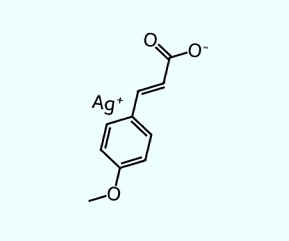 COc1ccc(/C=C/C(=O)[O-])cc1.[Ag+]